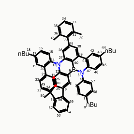 CCCCc1ccc(N2B3c4cc5c(cc4N(c4ccc(CCCC)cc4-c4ccccc4)c4cc(-c6c(C)cccc6C)cc(c43)-c3cc(CCCC)ccc32)C(C)(C)c2ccccc2-5)cc1